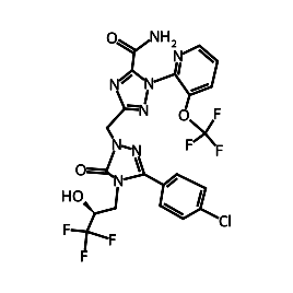 NC(=O)c1nc(Cn2nc(-c3ccc(Cl)cc3)n(C[C@H](O)C(F)(F)F)c2=O)nn1-c1ncccc1OC(F)(F)F